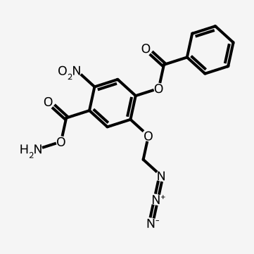 [N-]=[N+]=NCOc1cc(C(=O)ON)c([N+](=O)[O-])cc1OC(=O)c1ccccc1